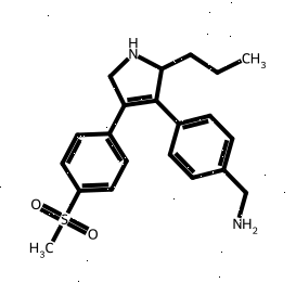 CCCC1NCC(c2ccc(S(C)(=O)=O)cc2)=C1c1ccc(CN)cc1